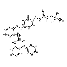 CC(F)(F)CNC(=O)OC[C@@H]1CO[C@H](CCc2ccncc2NC(=O)CC(c2ccccc2)c2ccccc2)CN1